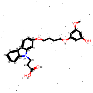 COc1cc(O)cc(OCCCCOc2ccc3c4ccccc4n(CCC(=O)O)c3c2)c1